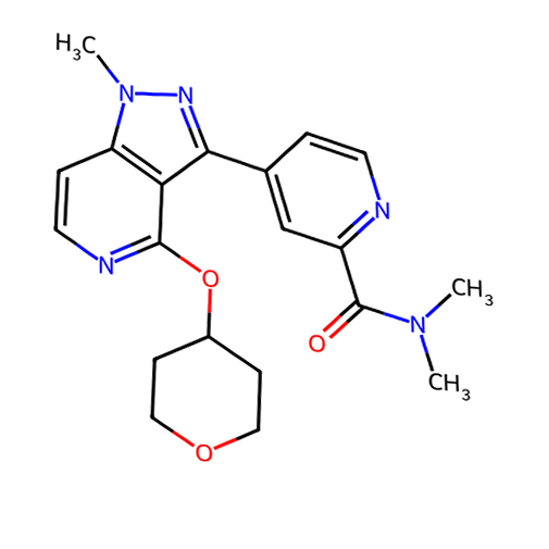 CN(C)C(=O)c1cc(-c2nn(C)c3ccnc(OC4CCOCC4)c23)ccn1